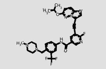 CC(C)Oc1ccc2ncc(C#Cc3cc(C(=O)Nc4ccc(CN5CCN(C)CC5)c(C(F)(F)F)c4)cnc3F)n2n1